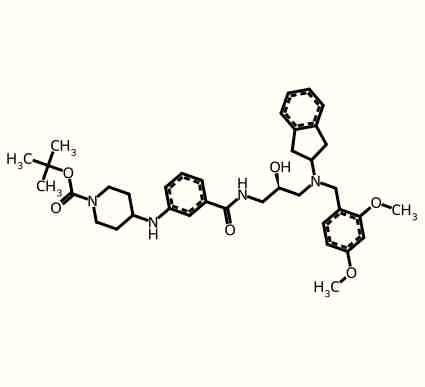 COc1ccc(CN(C[C@H](O)CNC(=O)c2cccc(NC3CCN(C(=O)OC(C)(C)C)CC3)c2)C2Cc3ccccc3C2)c(OC)c1